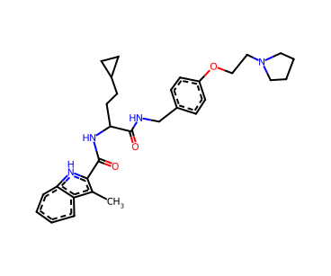 Cc1c(C(=O)NC(CCC2CC2)C(=O)NCc2ccc(OCCN3CCCC3)cc2)[nH]c2ccccc12